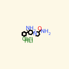 Cl.Cl.NC[C@]1(c2cccc(Cl)c2)CC[C@@H](N2CCCC(C(N)=O)C2)CC1